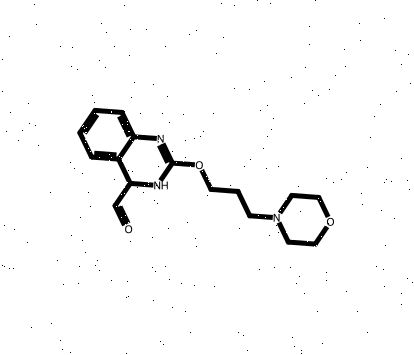 O=CC1NC(OCCCN2CCOCC2)=Nc2ccccc21